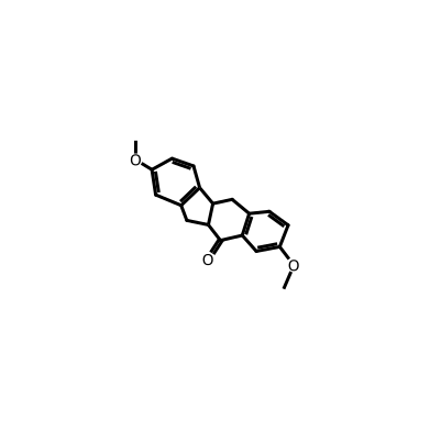 COc1ccc2c(c1)CC1C(=O)c3cc(OC)ccc3CC21